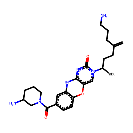 C=C(CCCN)CCC(CCCC)n1cc2c(nc1=O)Nc1cc(C(=O)N3CCCC(N)C3)ccc1O2